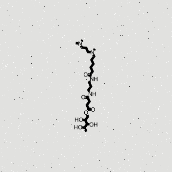 CC(O)C(O)C(O)COC(=O)CCC(=O)NCCCNC(=O)CCCCCN(C)CCCN(C)C